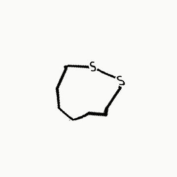 [CH]1CCSSC1